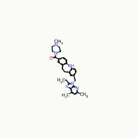 CCc1nc2c(C)cc(C)nc2n1Cc1ccc2c(c1)CCc1cc(C(=O)N3CCN(C)CC3)ccc1N2